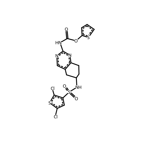 O=C(Nc1ncc2c(n1)CCC(NS(=O)(=O)c1cc(Cl)sc1Cl)C2)Oc1cccs1